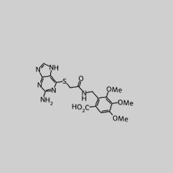 COc1cc(C(=O)O)c(CNC(=O)CSc2nc(N)nc3nc[nH]c23)c(OC)c1OC